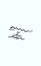 CCCCCCCC/C=C\CCCCCCCC(=O)O.OB(O)O.OCCNCCO